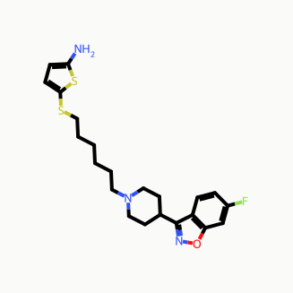 Nc1ccc(SCCCCCCN2CCC(c3noc4cc(F)ccc34)CC2)s1